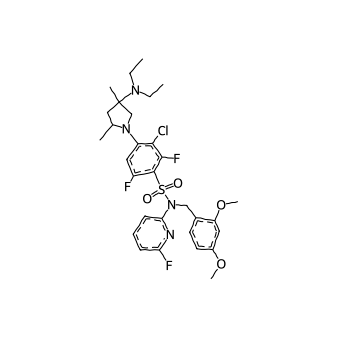 CCN(CC)C1(C)CC(C)N(c2cc(F)c(S(=O)(=O)N(Cc3ccc(OC)cc3OC)c3cccc(F)n3)c(F)c2Cl)C1